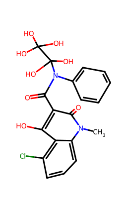 Cn1c(=O)c(C(=O)N(c2ccccc2)C(O)(O)C(O)(O)O)c(O)c2c(Cl)cccc21